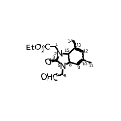 CCOC(=O)CN1C(=O)N(CC=O)C2C=C(C)C=C(C)C21